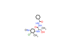 [C-]#[N+]c1ccc(N[C@@H](C(=O)NNC(=O)c2ccccc2)[C@H](C)O)c(C)c1Cl